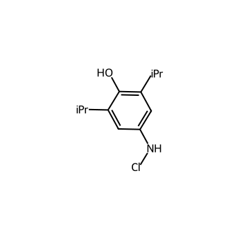 CC(C)c1cc(NCl)cc(C(C)C)c1O